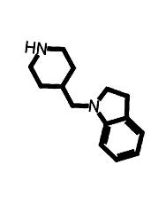 c1ccc2c(c1)CCN2CC1CCNCC1